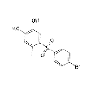 Cc1cc(O)c(O)cc1S(=O)(=O)c1ccc(Br)cc1